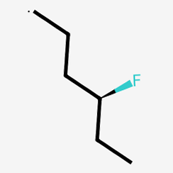 [CH2]CC[C@@H](F)CC